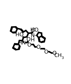 COCCOCCOCCOC(=O)NC(Cc1ccccc1)C(O)CC(CC=Cc1ccccc1)C(=O)N[C@H]1c2ccccc2C[C@@H]1O